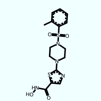 Cc1ccccc1S(=O)(=O)N1CCN(c2ncc(C(=O)NO)s2)CC1